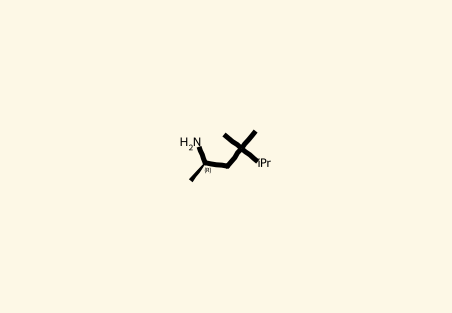 CC(C)C(C)(C)C[C@@H](C)N